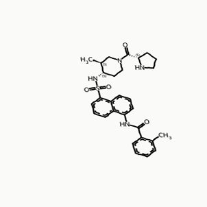 Cc1ccccc1C(=O)Nc1cccc2c(S(=O)(=O)N[C@H]3CCN(C(=O)[C@@H]4CCCN4)C[C@@H]3C)cccc12